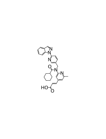 Cc1cc(C=CC(=O)O)cc(N(Cc2ccc(-n3ncc4ccccc43)nc2)C(=O)C2CCCCC2)n1